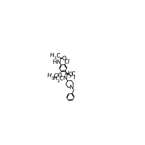 CI.COc1cc(NC(C)=O)c(Cl)cc1C(=O)N(C)C1CCN(Cc2ccccc2)CC1